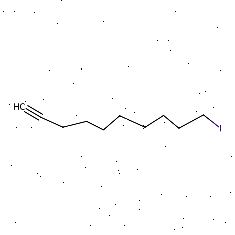 C#CCCCCCCCCI